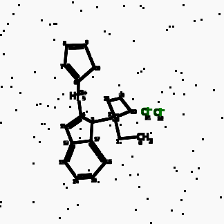 CC[Si]1(C2[C]([Hf+2][C]3=CC=CC3)=Cc3ccccc32)CCC1.[Cl-].[Cl-]